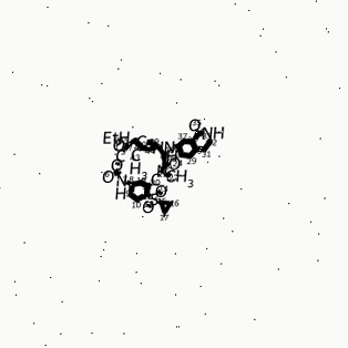 CCO[C@H]1COC(=O)Nc2ccc(S(=O)(=O)C3CC3)c(c2)CN(C)C(=O)[C@H](Nc2ccc3cc[nH]c(=O)c3c2)c2ccc1c(C)c2